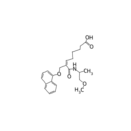 COCC(C)NC(=O)C(=CCCCCC(=O)O)COc1cccc2ccccc12